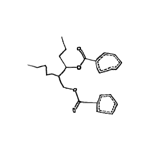 CCCC(COC(=O)c1ccccc1)C(CCC)OC(=O)c1ccccc1